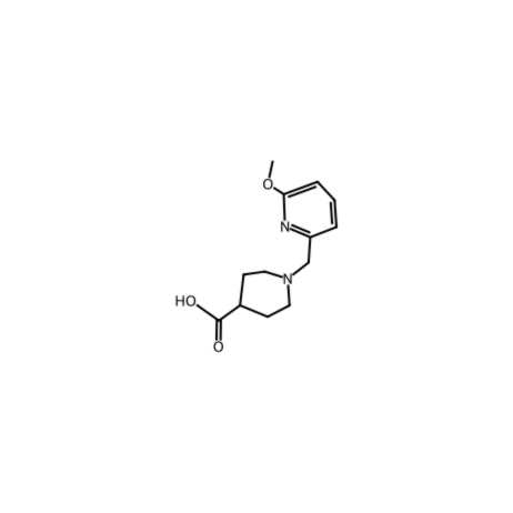 COc1cccc(CN2CCC(C(=O)O)CC2)n1